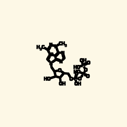 CC1=NN(C)c2ncnc3c2[n+]1cn3CC1OC(COP(=O)(O)OP(=O)(O)OP(=O)(O)O)C(O)C1O